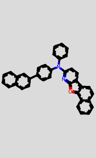 c1ccc(N(c2ccc(-c3ccc4ccccc4c3)cc2)c2ccc3c(n2)oc2c4ccccc4ccc32)cc1